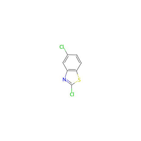 Clc1ccc2sc(Cl)nc2c1